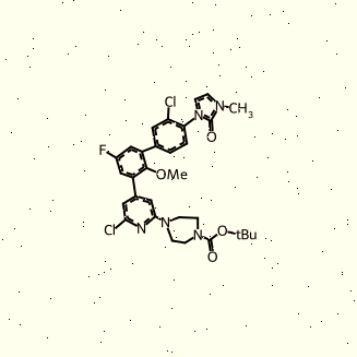 COc1c(-c2cc(Cl)nc(N3CCN(C(=O)OC(C)(C)C)CC3)c2)cc(F)cc1-c1ccc(-n2ccn(C)c2=O)c(Cl)c1